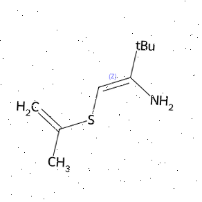 C=C(C)S/C=C(\N)C(C)(C)C